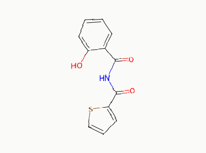 O=C(NC(=O)c1ccccc1O)c1cccs1